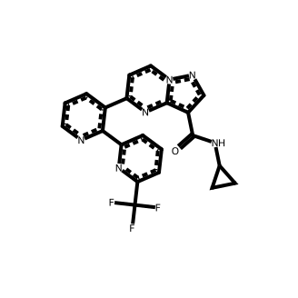 O=C(NC1CC1)c1cnn2ccc(-c3cccnc3-c3cccc(C(F)(F)F)n3)nc12